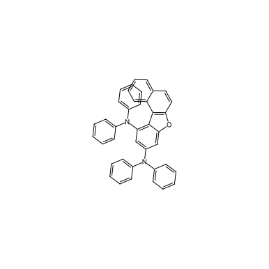 c1ccc(N(c2ccccc2)c2cc(N(c3ccccc3)c3ccccc3)c3c(c2)oc2ccc4ccccc4c23)cc1